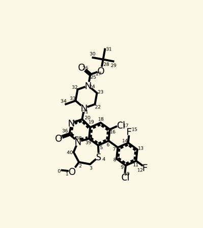 COC1CSc2c(-c3cc(Cl)c(F)cc3F)c(Cl)cc3c(N4CCN(C(=O)OC(C)(C)C)CC4C)nc(=O)n(c23)C1